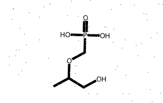 CC(CO)OCP(=O)(O)O